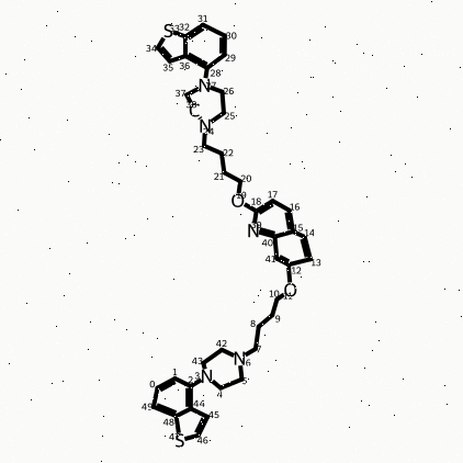 c1cc(N2CCN(CCCCOc3ccc4ccc(OCCCCN5CCN(c6cccc7sccc67)CC5)nc4c3)CC2)c2ccsc2c1